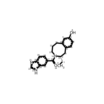 CC[C@H]1Cc2ccc(O)cc2CCCN1C(=O)c1ccc2nc[nH]c2c1